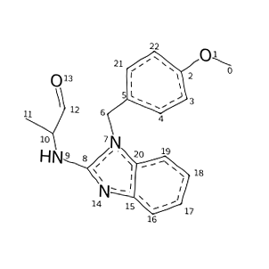 COc1ccc(Cn2c(NC(C)C=O)nc3ccccc32)cc1